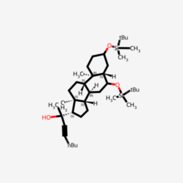 CCCCC#CC(C)(O)[C@H]1CC[C@H]2[C@@H]3CC(O[Si](C)(C)C(C)(C)C)[C@H]4CC(O[Si](C)(C)C(C)(C)C)CC[C@]4(C)[C@H]3CC[C@]12C